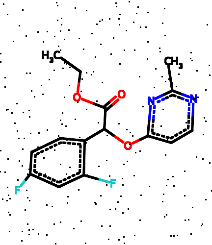 CCOC(=O)C(Oc1ccnc(C)n1)c1ccc(F)cc1F